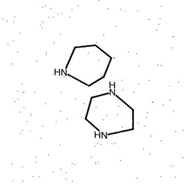 C1CNCCN1.[CH]1CCNCC1